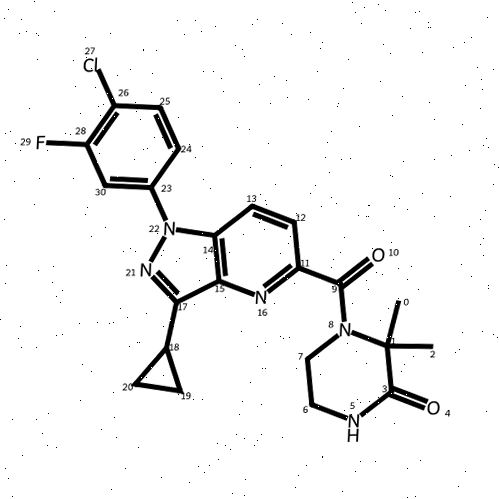 CC1(C)C(=O)NCCN1C(=O)c1ccc2c(n1)c(C1CC1)nn2-c1ccc(Cl)c(F)c1